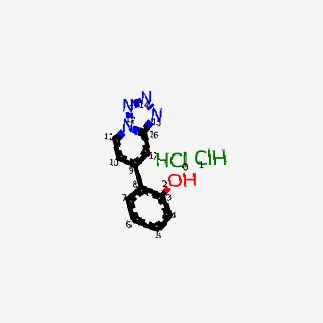 Cl.Cl.Oc1ccccc1-c1ccn2nnnc2c1